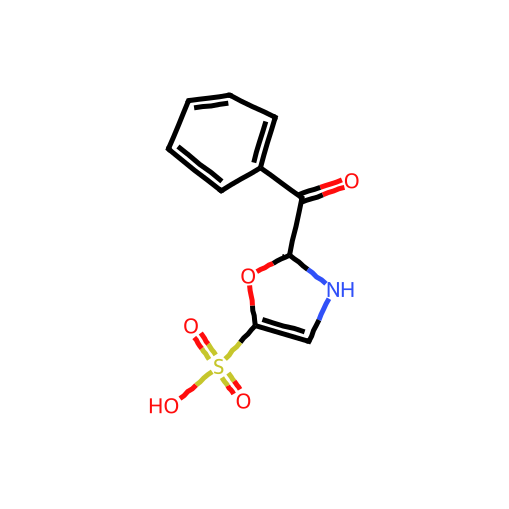 O=C([C]1NC=C(S(=O)(=O)O)O1)c1ccccc1